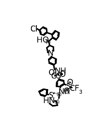 O=C(NS(=O)(=O)c1ccc(N[C@@H](CSc2ccccc2)C[C@@H]2CCCN2)c(S(=O)(=O)C(F)(F)F)c1)c1ccc(N2CCC([C@@H](O)c3ccccc3-c3ccc(Cl)cc3)CC2)cc1